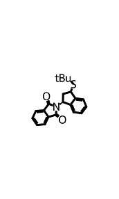 CC(C)(C)SC1C[C@H](N2C(=O)c3ccccc3C2=O)c2ccccc21